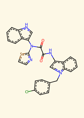 O=C(Nc1cn(Cc2ccc(Cl)cc2)c2ccccc12)C(=O)N(c1nccs1)c1c[nH]c2ccccc12